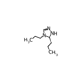 CCCC1NN=CN1CCC